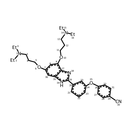 CCN(CC)CCCOc1cc(OCCCN(CC)CC)c2nc(-c3cccc(Oc4ccc(C#N)cc4)c3)[nH]c2c1